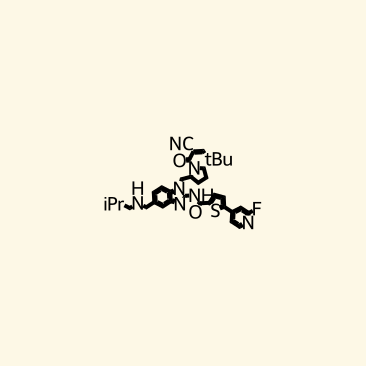 CC(C)CNCc1ccc2c(c1)nc(NC(=O)c1ccc(-c3ccnc(F)c3)s1)n2CC1CCCN1C(=O)C(C#N)=CC(C)(C)C